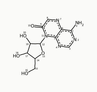 Nc1ncnc2c1ncc(=O)n2C1OC(CO)C(O)C1O